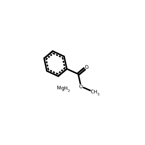 COC(=O)c1ccccc1.[MgH2]